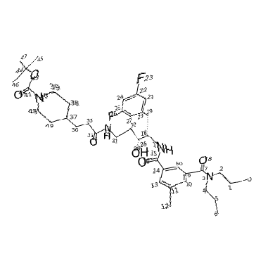 CCCN(CCC)C(=O)c1cc(C)cc(C(=O)N[C@@H](Cc2cc(F)cc(F)c2)[C@H](O)CCNC(=O)CCC2CCN(C(=O)OC(C)(C)C)CC2)c1